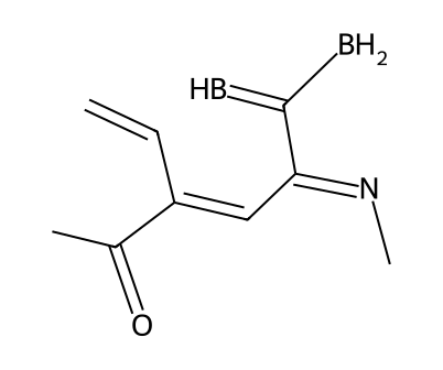 B=C(B)C(/C=C(\C=C)C(C)=O)=N/C